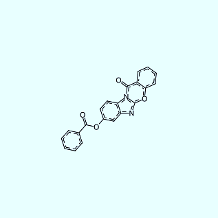 O=C(Oc1ccc2c(c1)nc1oc3ccccc3c(=O)n12)c1ccccc1